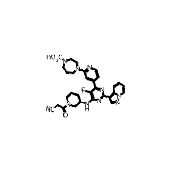 N#CCC(=O)N1CCC[C@@H](Nc2nc(-c3cnn4ccccc34)nc(-c3ccnc(N4CCCN(C(=O)O)CC4)c3)c2F)C1